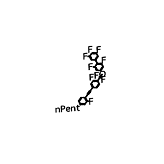 CCCCCc1ccc(C#Cc2ccc(C(F)(F)Oc3cc(F)c(-c4cc(F)c(F)c(F)c4)c(F)c3)c(F)c2)c(F)c1